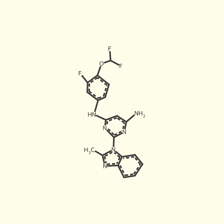 Cc1nc2ccccc2n1-c1nc(N)cc(Nc2ccc(OC(F)F)c(F)c2)n1